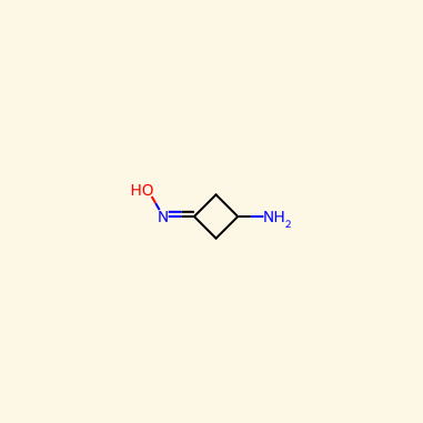 NC1CC(=NO)C1